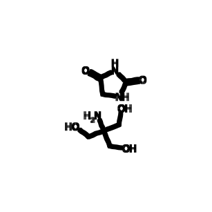 NC(CO)(CO)CO.O=C1CNC(=O)N1